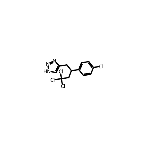 Clc1ccc(C(Cc2c[nH]nn2)CC(Cl)(Cl)Cl)cc1